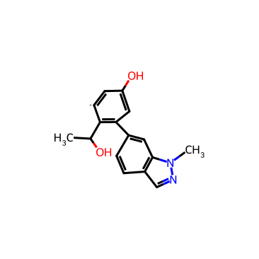 CC(O)c1[c]cc(O)cc1-c1ccc2cnn(C)c2c1